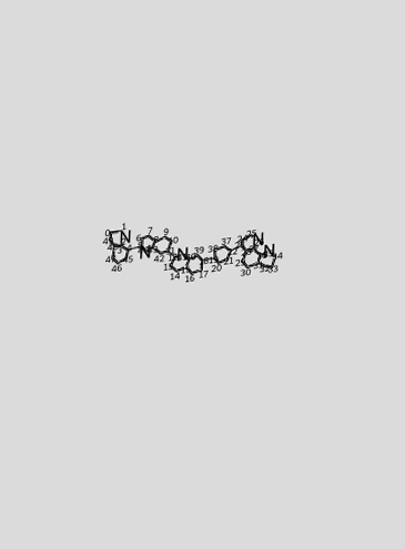 c1cnc2c(-c3ccc4ccc(-c5ccc6ccc(-c7ccc(-c8ccnc9c8ccc8cccnc89)cc7)cc6n5)cc4n3)cccc2c1